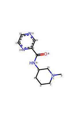 CN1CCCC(NC(=O)c2cnccn2)C1